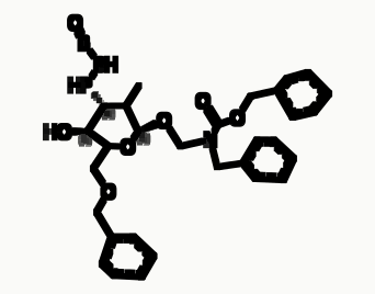 CC1[C@@H](OCN(Cc2ccccc2)C(=O)OCc2ccccc2)OC(COCc2ccccc2)[C@@H](O)[C@@H]1PBB=O